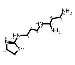 NCCC(N)NCCCNC1=NCCS1